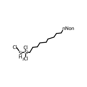 CCCCCCCCCCCCCCCCCC[Si](Cl)(Cl)[SiH2]Cl